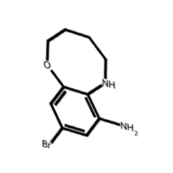 Nc1cc(Br)cc2c1NCCCCO2